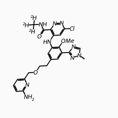 [2H]C([2H])([2H])NC(=O)c1nnc(Cl)cc1Nc1cc(CCOCc2cccc(N)n2)cc(-c2ncn(C)n2)c1OC